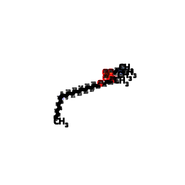 CCCCCCC/C=C\CCCCCCCCCCCOC[C@H](COC)OP(=O)([O-])OCC[N+](C)(C)C